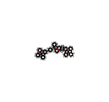 C1=CC2c3ccccc3C3(c4ccccc4-c4c3ccc3c4Oc4ccc(-c5ccccc5N(c5ccccc5)c5ccc(-c6ccc7c(c6)-c6ccccc6C7(c6ccccc6)c6ccccc6)cc5)cc4O3)C2C=C1